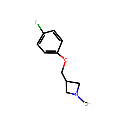 CN1CC(COc2ccc(F)cc2)C1